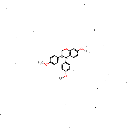 COc1ccc([C@@H]2c3ccc(OC)cc3OC[C@@H]2c2ccc(OC)cc2)cc1